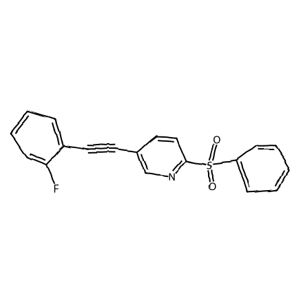 O=S(=O)(c1ccccc1)c1ccc(C#Cc2ccccc2F)cn1